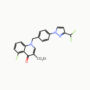 CCOC(=O)c1cn(Cc2ccc(-n3ccc(C(F)F)n3)cc2)c2cccc(F)c2c1=O